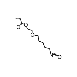 C=CC(=O)OCCOCCCCCN=C=O